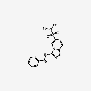 CCN(CC)S(=O)(=O)c1ccc2nnc(NC(=O)c3ccccc3)n2c1